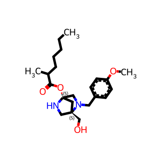 CCCCCC(C)C(=O)O[C@@]12CN(Cc3ccc(OC)cc3)[C@](CO)(CN1)C2